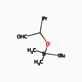 CC(C)C(C=O)O[Si](C)(C)C(C)(C)C